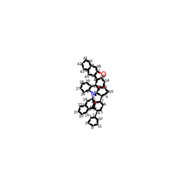 c1ccc(-c2ccc(-c3ccccc3N(c3ccc4ccccc4c3)c3ccccc3-c3cccc4oc5cc6ccccc6cc5c34)cc2)cc1